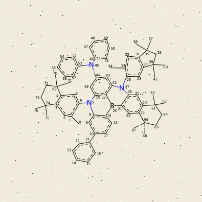 Cc1cc2c(cc1N1c3cc(-c4ccccc4)ccc3B3c4cc5c(cc4N(c4cc6c(cc4C)C(C)(C)CC6(C)C)c4cc(N(c6ccccc6)c6ccccc6)cc1c43)C(C)(C)CCC5(C)C)C(C)(C)CCC2(C)C